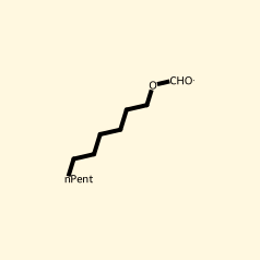 [CH2]CCCCCCCCCCO[C]=O